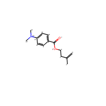 C=C(C)CCOC(=O)c1ccc(N(C)C)cc1